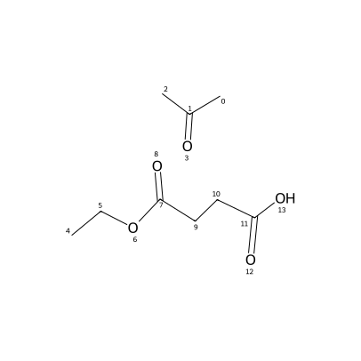 CC(C)=O.CCOC(=O)CCC(=O)O